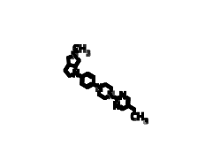 CCc1cnc(N2CCN(c3ccc(N4CCC5CN(C)CC54)cc3)CC2)nc1